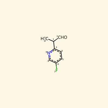 CC(C=O)c1ccc(F)cn1